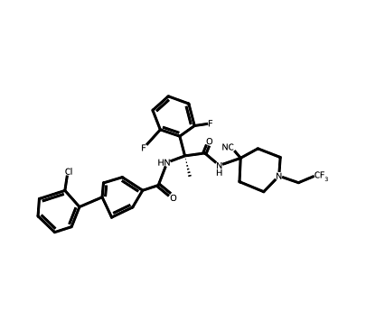 C[C@@](NC(=O)c1ccc(-c2ccccc2Cl)cc1)(C(=O)NC1(C#N)CCN(CC(F)(F)F)CC1)c1c(F)cccc1F